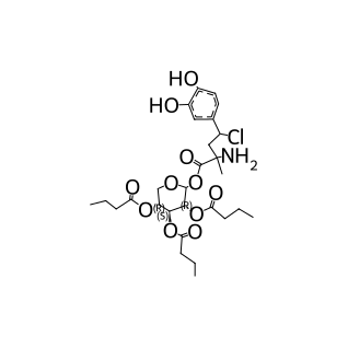 CCCC(=O)O[C@H]1[C@H](OC(=O)CCC)COC(OC(=O)C(C)(N)CC(Cl)c2ccc(O)c(O)c2)[C@@H]1OC(=O)CCC